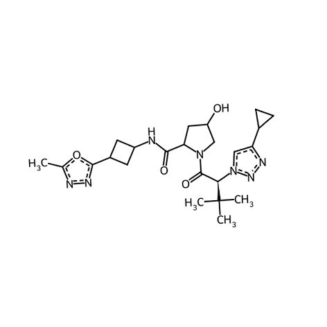 Cc1nnc(C2CC(NC(=O)C3CC(O)CN3C(=O)[C@@H](n3cc(C4CC4)nn3)C(C)(C)C)C2)o1